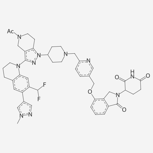 CC(=O)N1CCc2c(c(N3CCCc4cc(-c5cnn(C)c5)c(C(F)F)cc43)nn2C2CCN(Cc3ccc(COc4cccc5c4CN(C4CCC(=O)NC4=O)C5=O)cn3)CC2)C1